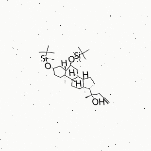 C#CC[C@](C)(O)[C@H]1CC[C@H]2[C@@H]3C[C@H](O[Si](C)(C)C(C)(C)C)[C@H]4C[C@@H](O[Si](C)(C)C(C)(C)C)CC[C@]4(C)[C@H]3CC[C@@]21C